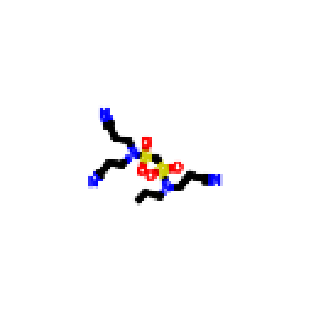 CCCN(CCC#N)S(=O)(=O)CS(=O)(=O)N(CCC#N)CCC#N